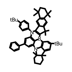 CC(C)(C)c1ccc(N2C3=C(B4c5cc(C(C)(C)C)cc6c5N(c5cc(-c7ccccc7)cc2c54)C2(C)CCCCC62C)C(C)(C)c2cc4c(cc23)C(C)(C)CCC4(C)C)cc1